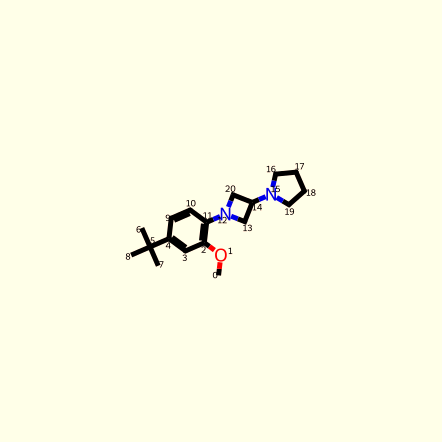 COc1cc(C(C)(C)C)ccc1N1CC(N2CCCC2)C1